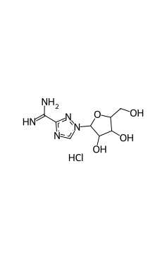 Cl.N=C(N)c1ncn(C2OC(CO)C(O)C2O)n1